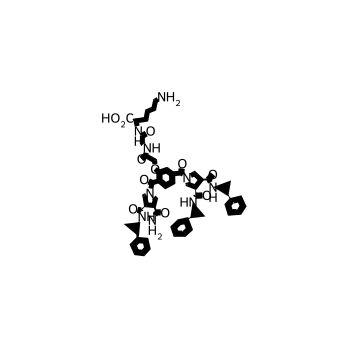 NCCCC[C@H](NC(=O)CNC(=O)COc1cc(C(=O)N2C[C@@H](C(=O)N[C@H]3C[C@@H]3c3ccccc3)[C@H](C(=O)N[C@H]3C[C@@H]3c3ccccc3)C2)ccc1C(=O)N1C[C@@H](C(N)=O)[C@H](C(=O)N[C@H]2C[C@@H]2c2ccccc2)C1)C(=O)O